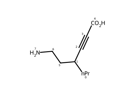 CCCC(C#CC(=O)O)CCN